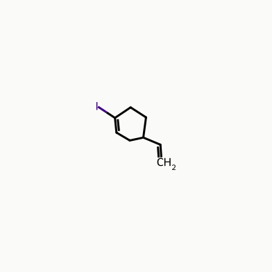 C=CC1CC=C(I)CC1